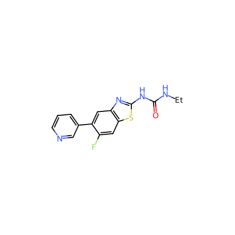 CCNC(=O)Nc1nc2cc(-c3cccnc3)c(F)cc2s1